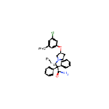 COc1cc(Cl)cc(OC2CCN([C@@H](CC(C)C)C(C(N)=O)(c3ccccc3)c3ccccc3)C2)c1